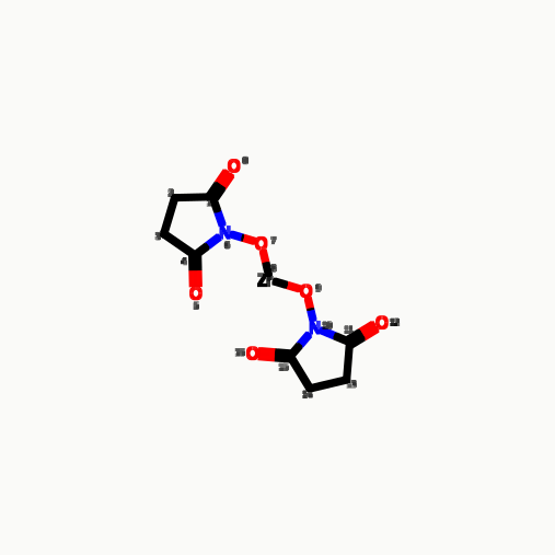 O=C1CCC(=O)N1[O][Zr][O]N1C(=O)CCC1=O